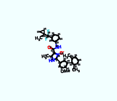 COc1ccc(-c2[nH]c(C)c(C(=O)Nc3cccc(C(F)(F)C4(C)CC4)c3)[n+]2[O-])cc1-c1c(C)cccc1C